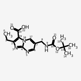 CCc1nc2ncc(CNC(=O)OC(C)(C)C)cn2c1C(=O)O